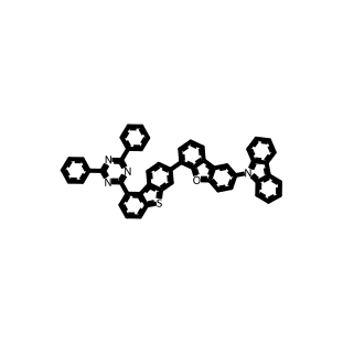 c1ccc(-c2nc(-c3ccccc3)nc(-c3cccc4sc5cc(-c6cccc7c6oc6ccc(-n8c9ccccc9c9ccccc98)cc67)ccc5c34)n2)cc1